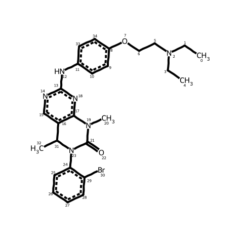 CCN(CC)CCOc1ccc(Nc2ncc3c(n2)N(C)C(=O)N(c2ccccc2Br)C3C)cc1